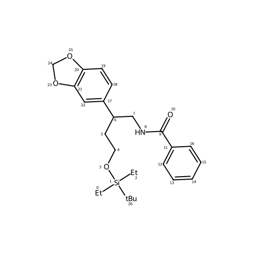 CC[Si](CC)(OCCC(CNC(=O)c1ccccc1)c1ccc2c(c1)OCO2)C(C)(C)C